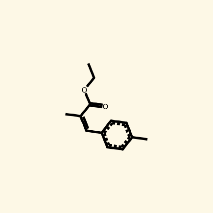 CCOC(=O)C(C)=Cc1ccc(C)cc1